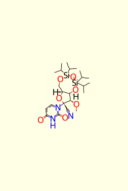 CO[C@@H]1[C@@H]2O[Si](C(C)C)(C(C)C)O[Si](C(C)C)(C(C)C)OC[C@H]2O[C@@]1(C#N)n1ccc(=O)[nH]c1=O